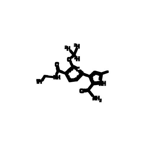 [2H]C([2H])([2H])Oc1cc(-c2cc(C)[nH]c2C(N)=O)ccc1C(=O)NCC(C)C